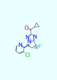 O=C(c1nc2n(n1)[C@H](c1ncccc1Cl)C[C@@H]2F)C1CC1